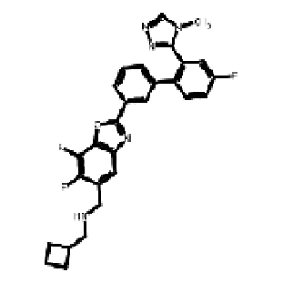 Cn1cnnc1-c1cc(F)ccc1-c1cccc(-c2nc3cc(CNCC4CCC4)c(F)c(F)c3o2)c1